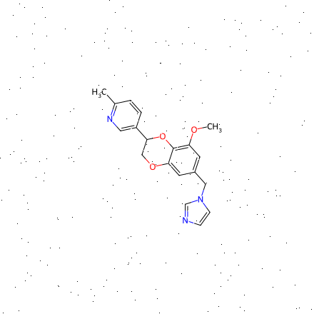 COc1cc(Cn2ccnc2)cc2c1OC(c1ccc(C)nc1)CO2